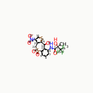 C[C@](O)(C(=O)Nc1cccc2c1C(=O)c1scc([N+](=O)[O-])c1CS2(=O)=O)C(F)(F)F